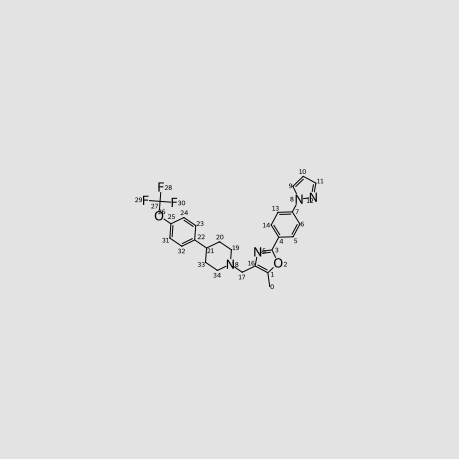 Cc1oc(-c2ccc(-n3cccn3)cc2)nc1CN1CCC(c2ccc(OC(F)(F)F)cc2)CC1